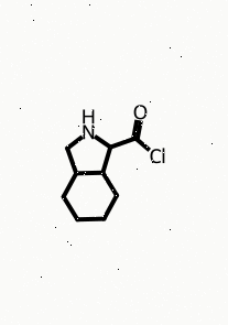 O=C(Cl)C1NCC2CCCCC21